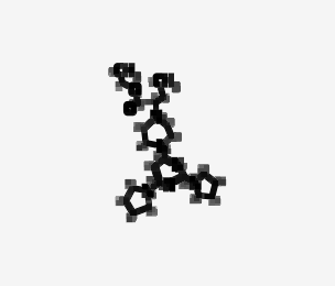 CCOC(=O)C(CC)N1CCN(c2cc(N3CCCC3)nc(N3CCCC3)n2)CC1